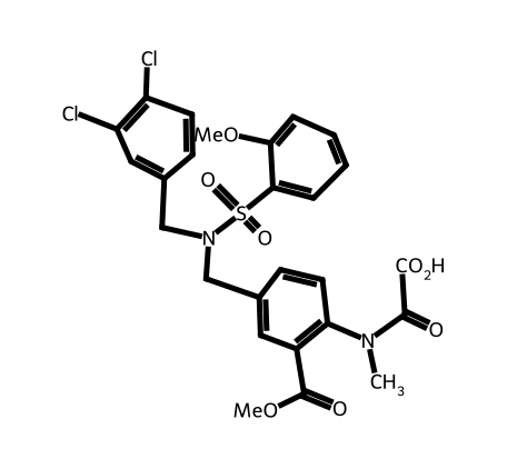 COC(=O)c1cc(CN(Cc2ccc(Cl)c(Cl)c2)S(=O)(=O)c2ccccc2OC)ccc1N(C)C(=O)C(=O)O